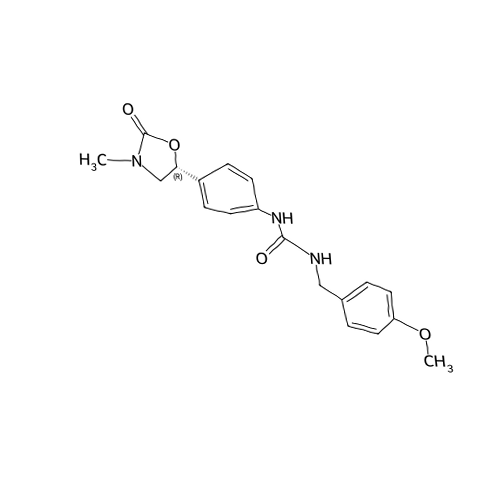 COc1ccc(CNC(=O)Nc2ccc([C@@H]3CN(C)C(=O)O3)cc2)cc1